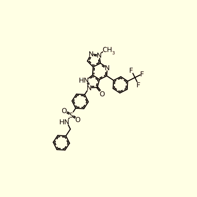 Cn1ncc2c3[nH]n(-c4ccc(S(=O)(=O)NCc5ccccc5)cc4)c(=O)c3c(-c3cccc(C(F)(F)F)c3)nc21